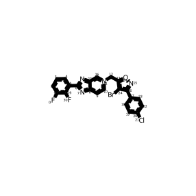 Fc1cccc(-c2nc3ccn(Cc4onc(-c5ccc(Cl)cc5)c4Br)cc-3n2)c1F